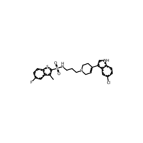 Cc1c(S(=O)(=O)NCCCN2CC=C(c3c[nH]c4ccc(Cl)cc34)CC2)sc2ccc(F)cc12